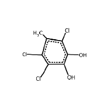 Cc1c(Cl)c(O)c(O)c(Cl)c1Cl